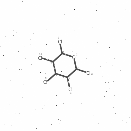 ClC1OC(Cl)C(Cl)C(Cl)C1Cl